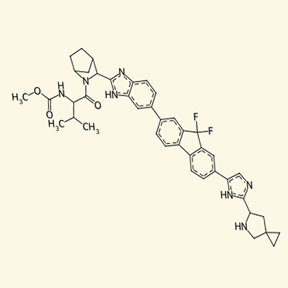 COC(=O)NC(C(=O)N1C2CCC(C2)C1c1nc2ccc(-c3ccc4c(c3)C(F)(F)c3cc(-c5cnc(C6CC7(CC7)CN6)[nH]5)ccc3-4)cc2[nH]1)C(C)C